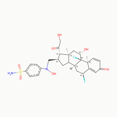 C[C@]12C[C@H](O)[C@@]3(F)[C@@H](C[C@H](F)C4=CC(=O)C=C[C@@]43C)C1C[C@@H](CN(O)c1ccc(S(N)(=O)=O)cc1)[C@@H]2C(=O)CO